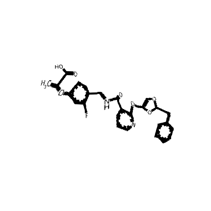 CC(Oc1ccc(CNC(=O)c2cccnc2OC2=COC(Cc3ccccc3)O2)c(F)c1)C(=O)O